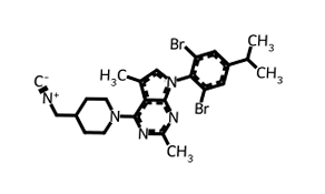 [C-]#[N+]CC1CCN(c2nc(C)nc3c2c(C)cn3-c2c(Br)cc(C(C)C)cc2Br)CC1